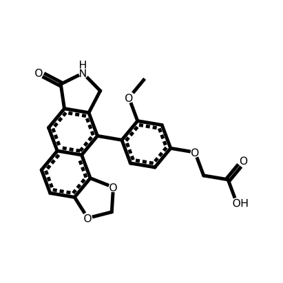 COc1cc(OCC(=O)O)ccc1-c1c2c(cc3ccc4c(c13)OCO4)C(=O)NC2